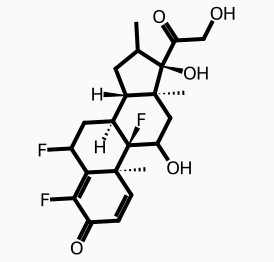 CC1C[C@H]2[C@@H]3CC(F)C4=C(F)C(=O)C=C[C@]4(C)[C@@]3(F)C(O)C[C@]2(C)[C@@]1(O)C(=O)CO